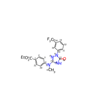 CCOC(=O)c1ccc(N(C)c2nn(-c3cccc(C(F)(F)F)c3)c(=O)[nH]2)cc1